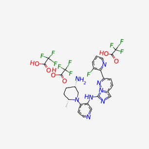 C[C@@H]1CC[C@H](N)CN1c1ccncc1Nc1ncc2ccc(-c3ncccc3F)nn12.O=C(O)C(F)(F)F.O=C(O)C(F)(F)F.O=C(O)C(F)(F)F